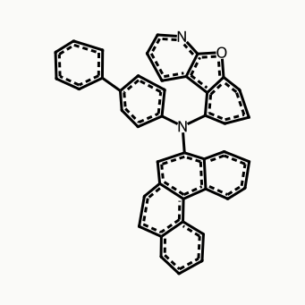 c1ccc(-c2ccc(N(c3cc4ccc5ccccc5c4c4ccccc34)c3cccc4oc5ncccc5c34)cc2)cc1